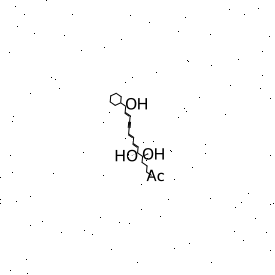 CC(=O)CCC[C@H](O)[C@H](O)/C=C/C=C/C#C/C=C/C(O)C1CCCCC1